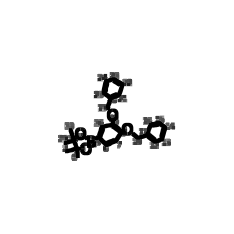 CC1(C)OB(c2ccc(OCc3ccccc3)c(OCc3ccccc3)c2)OC1(C)C